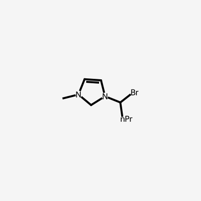 CCCC(Br)N1C=CN(C)C1